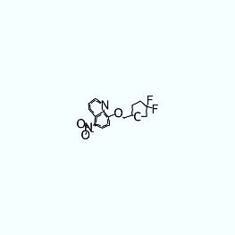 O=[N+]([O-])c1ccc(OCC2CCC(F)(F)CC2)c2ncccc12